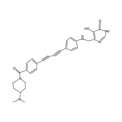 CN(C)C1CCN(C(=O)c2ccc(C#CC#Cc3ccc(NCc4nc[nH]c(=O)c4O)cc3)cc2)CC1